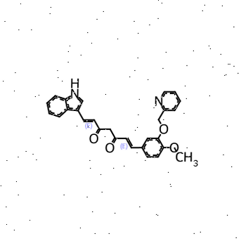 COc1ccc(/C=C/C(=O)CC(=O)/C=C/c2c[nH]c3ccccc23)cc1OCc1ccccn1